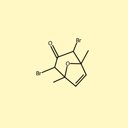 CC12C=CC(C)(O1)C(Br)C(=O)C2Br